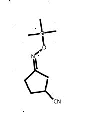 C[Si](C)(C)ON=C1CCC(C#N)C1